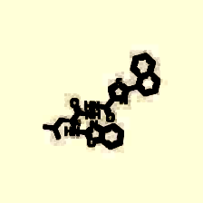 CC(C)C[C@H](Nc1nc2ccccc2o1)C(=O)NNC(=O)c1csc(-c2cccc3ccccc23)n1